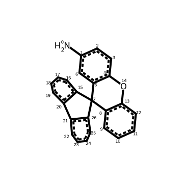 Nc1ccc2c(c1)C1(c3ccccc3O2)c2ccccc2-c2ccccc21